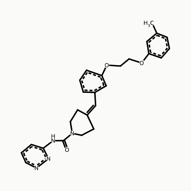 Cc1cccc(OCCOc2cccc(C=C3CCN(C(=O)Nc4cccnn4)CC3)c2)c1